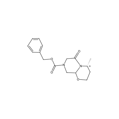 C[C@@H]1CCOC2CN(C(=O)OCc3ccccc3)CC(=O)N21